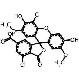 COc1cc2c(cc1O)Oc1c(cc(OC)c(O)c1Cl)C21OC(=O)c2c(Cl)cc(C(=O)O)cc21